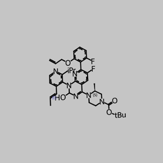 C=CCOc1cccc(F)c1-c1nc2c(cc1F)C(N1CCN(C(=O)OC(C)(C)C)C[C@@H]1C)=NC(O)N2c1c(/C=C/C)ccnc1C(C)C